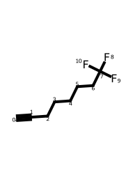 [C]#CCCCCCC(F)(F)F